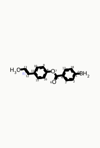 Bc1ccc(C(=O)Oc2ccc(/C=C/C)cc2)cc1